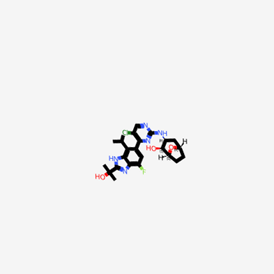 CC(C)c1c(-c2nc(N[C@@H]3C[C@H]4CC[C@H](O4)[C@H]3O)ncc2Cl)cc(F)c2nc(C(C)(C)O)[nH]c12